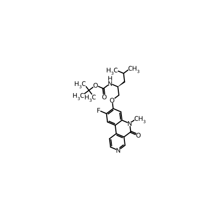 CC(C)C[C@@H](COc1cc2c(cc1F)c1ccncc1c(=O)n2C)NC(=O)OC(C)(C)C